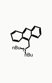 CCCCN(CCCC)Cc1c2ccccc2cc2ccccc12